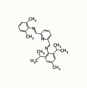 Cc1cc(C(C)C)c(N=Cc2cccc(C=Nc3c(C)cccc3C)n2)c(C(C)C)c1